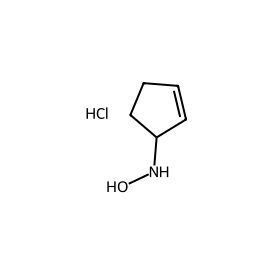 Cl.ONC1C=CCC1